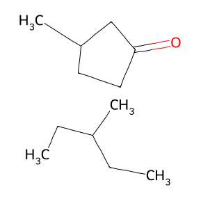 CC1CCC(=O)C1.CCC(C)CC